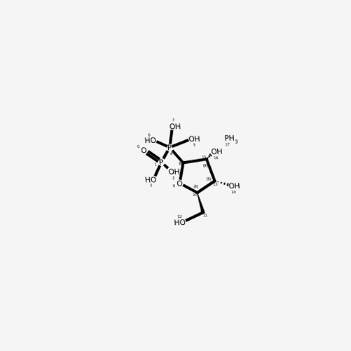 O=P(O)(O)P(O)(O)(O)C1O[C@H](CO)[C@@H](O)[C@H]1O.P